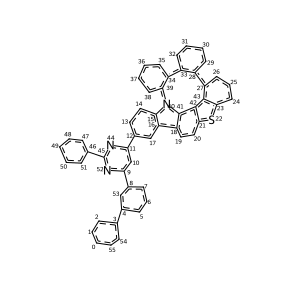 c1ccc(-c2cccc(-c3cc(-c4ccc5c(c4)c4ccc6sc7cccc8c9ccccc9c9ccccc9n5c4c6c78)nc(-c4ccccc4)n3)c2)cc1